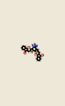 O=C1C(=Cc2cc3c4nsnc4c4cc(C=C5C(=O)c6ccccc6C5=O)sc4c3s2)C(=O)c2ccccc21